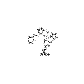 Clc1ccc(C(c2ccc3nnn(CCc4ccccc4)c3c2)n2ccnc2)cc1.O=[N+]([O-])O